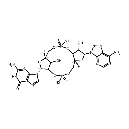 Nc1nc2c(ncn2[C@@H]2O[C@@H]3COP(=O)(S)OC4C(O)C(n5nnc6c(N)ncnc65)O[C@@H]4COP(=O)(S)OC2C3O)c(=O)[nH]1